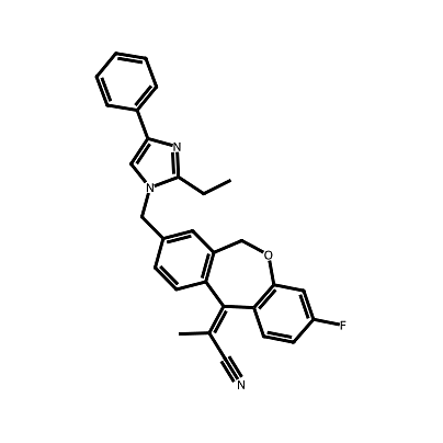 CCc1nc(-c2ccccc2)cn1Cc1ccc2c(c1)COc1cc(F)ccc1/C2=C(/C)C#N